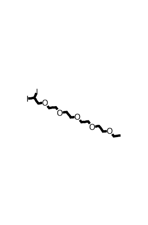 CCOCCOCCOCCOCCOCC(I)I